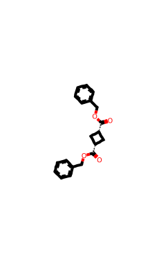 O=C(OCc1ccccc1)[C@H]1C[C@@H](C(=O)OCc2ccccc2)C1